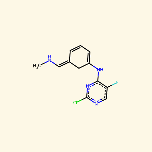 CNC=C1C=CC=C(Nc2nc(Cl)ncc2F)C1